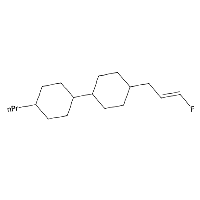 CCCC1CCC(C2CCC(CC=CF)CC2)CC1